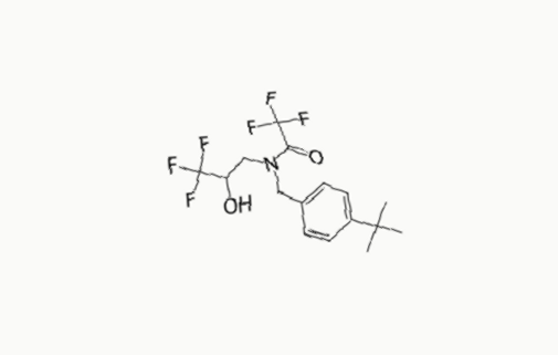 CC(C)(C)c1ccc(CN(CC(O)C(F)(F)F)C(=O)C(F)(F)F)cc1